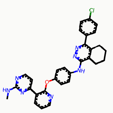 CNc1nccc(-c2cccnc2Oc2ccc(Nc3nnc(-c4ccc(Cl)cc4)c4c3CCCC4)cc2)n1